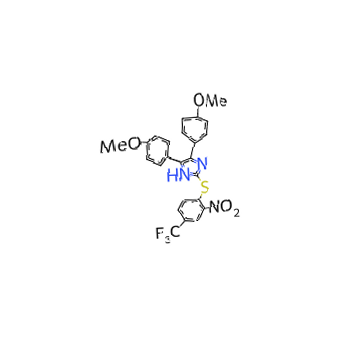 COc1ccc(-c2nc(Sc3ccc(C(F)(F)F)cc3[N+](=O)[O-])[nH]c2-c2ccc(OC)cc2)cc1